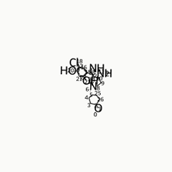 CO[C@H]1CC[C@H](CN2CCC(=N)/C(=C(\N)c3cc(Cl)c(O)cc3O)C2)CC1